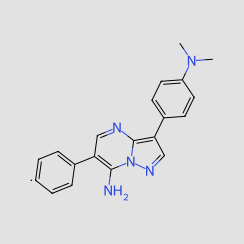 CN(C)c1ccc(-c2cnn3c(N)c(-c4cc[c]cc4)cnc23)cc1